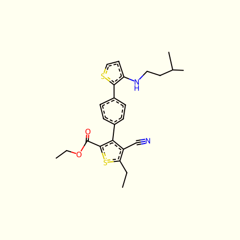 CCOC(=O)c1sc(CC)c(C#N)c1-c1ccc(-c2sccc2NCCC(C)C)cc1